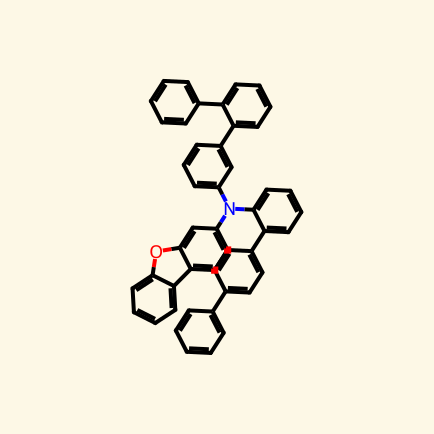 c1ccc(-c2ccc(-c3ccccc3N(c3cccc(-c4ccccc4-c4ccccc4)c3)c3ccc4c(c3)oc3ccccc34)cc2)cc1